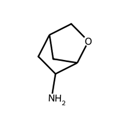 NC1CC2COC1C2